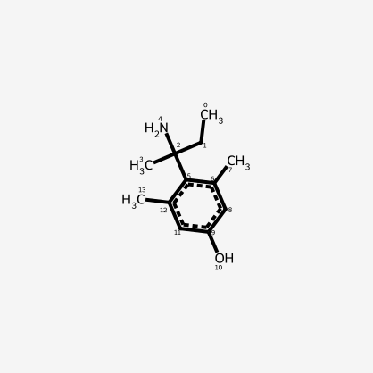 CCC(C)(N)c1c(C)cc(O)cc1C